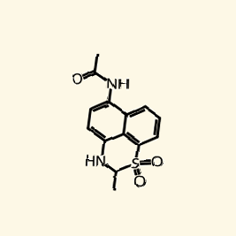 CC(=O)Nc1ccc2c3c(cccc13)S(=O)(=O)C(C)N2